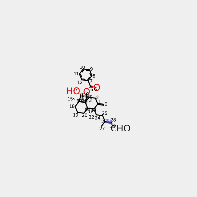 C=C1C[C@@H](OC(=O)c2ccccc2)[C@H]2[C@](C)(CO)CCC[C@]2(C)[C@@H]1CC/C(C)=C/C=O